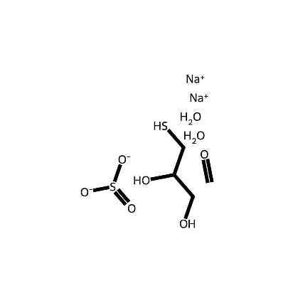 C=O.O.O.O=S([O-])[O-].OCC(O)CS.[Na+].[Na+]